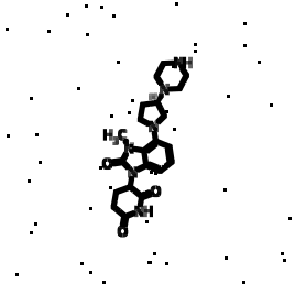 Cn1c(=O)n(C2CCC(=O)NC2=O)c2cccc(N3CC[C@@H](N4CCNCC4)C3)c21